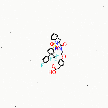 O=C(O)Cc1ccc(OCCNC(=O)[C@@H]2Cc3ccccc3N2S(=O)(=O)c2ccc(-c3ccc(F)cc3)c(C(F)(F)F)c2)cc1